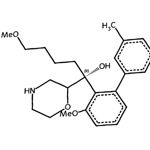 COCCCC[C@@](O)(c1c(OC)cccc1-c1cccc(C)c1)C1CNCCO1